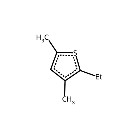 CCc1sc(C)cc1C